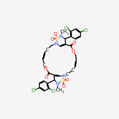 CN1C(c2ccc(Cl)cc2Cl)C2=CN(CC/C=C\COC(=O)C3=CN(CC/C=C\COC2=O)S(=O)(=O)N(C)C3c2ccc(Cl)cc2Cl)S1(=O)=O